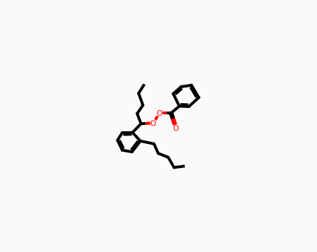 CCCCCc1ccccc1C(CCCC)OOC(=O)c1ccccc1